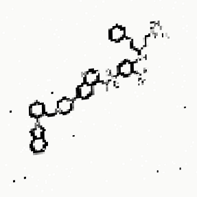 CN(C)CC[C@H](CSc1ccccc1)Nc1ccc(S(=O)(=O)Nc2ncnc3cc(N4CCN(Cc5ccccc5-n5cc6ccccc6c5)CC4)ccc23)cc1[N+](=O)[O-]